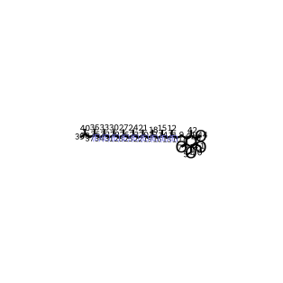 COC1=C(OC)C(=O)C(C/C=C(C)/C=C(C)/C=C(C)/C=C(C)/C=C(C)/C=C(C)/C=C(C)/C=C(C)/C=C(\C)C=C(C)C)=C(C)C1=O